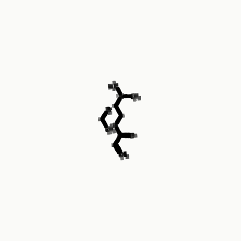 C=CC(=O)OCCN(C)C.CCBr